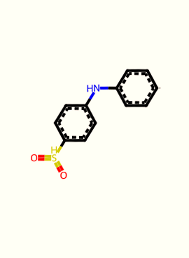 O=[SH](=O)c1ccc(Nc2cc[c]cc2)cc1